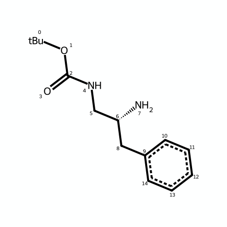 CC(C)(C)OC(=O)NC[C@H](N)Cc1ccccc1